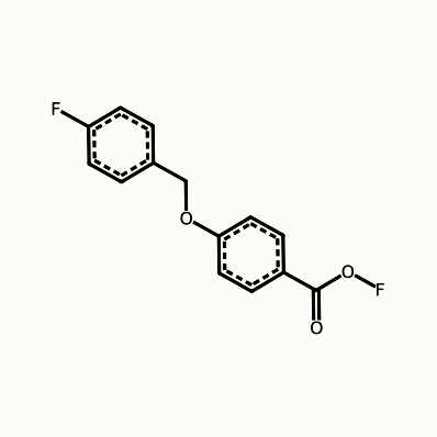 O=C(OF)c1ccc(OCc2ccc(F)cc2)cc1